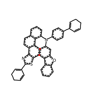 C1=CC(c2ccc(N(c3ccc4c(c3)oc3ccccc34)c3cccc4ccc5c(ccc6sc(C7=CCCC=C7)nc65)c34)cc2)=CCC1